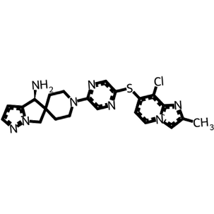 Cc1cn2ccc(Sc3cnc(N4CCC5(CC4)Cn4nccc4[C@H]5N)cn3)c(Cl)c2n1